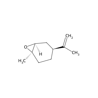 C=C(C)[C@H]1CC[C@@]2(C)O[C@H]2C1